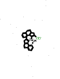 CC1=[C]([Zr+2]([C]2=C(C)Cc3ccc4ccccc4c32)[SiH](C)C)c2c(ccc3ccccc23)C1.[Cl-].[Cl-]